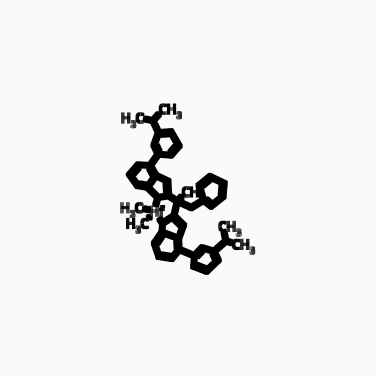 CC(C)c1cccc(-c2cccc3c2C=C2[CH]3[Hf]([CH3])([CH3])[CH]3C(=Cc4c(-c5cccc(C(C)C)c5)cccc43)C2(C)Cc2ccccc2)c1